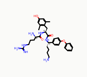 Cc1cc(O)cc(C)c1C[C@H](NC(=O)[C@H](N)CCCNC(=N)N)C(=O)N[C@@H](CCCCN)c1ccc(Oc2ccccc2)cc1